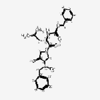 CC(C)C[C@H](NC(=O)OCc1ccccc1)C(=O)N1CC(=O)C([S+]([O-])Cc2ccccc2)C1